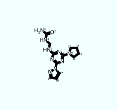 NC(=O)NCNc1nc(N2CCCC2)nc(-n2cccn2)n1